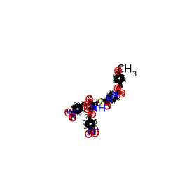 COc1ccc(COC(=O)N2CCN(C(=O)CSC[C@@H](NC(=O)OCc3ccc([N+](=O)[O-])cc3)C(=O)OCc3ccc([N+](=O)[O-])cc3)CC2)cc1